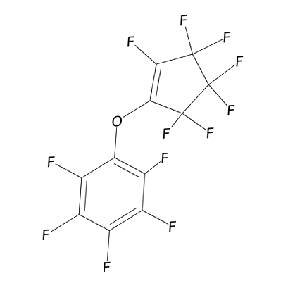 FC1=C(Oc2c(F)c(F)c(F)c(F)c2F)C(F)(F)C(F)(F)C1(F)F